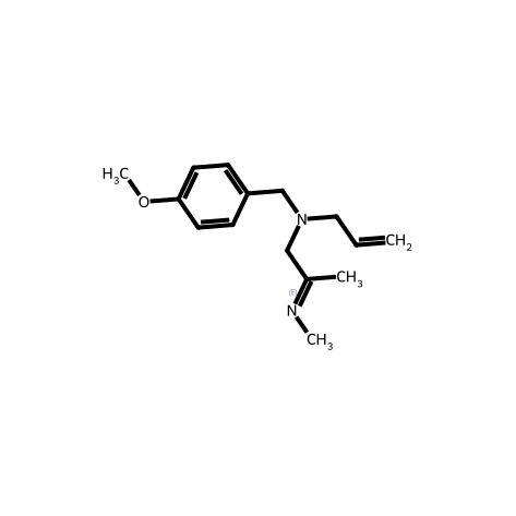 C=CCN(C/C(C)=N/C)Cc1ccc(OC)cc1